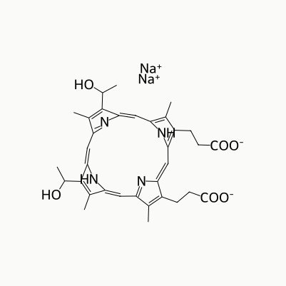 CC1=C(CCC(=O)[O-])c2cc3[nH]c(cc4nc(cc5[nH]c(cc1n2)c(C)c5C(C)O)C(C)=C4C(C)O)c(C)c3CCC(=O)[O-].[Na+].[Na+]